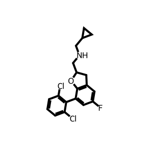 Fc1cc2c(c(-c3c(Cl)cccc3Cl)c1)OC(CNCC1CC1)C2